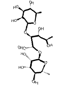 C[C@@H](O)[C@@H](O)[C@H](OC1O[C@H](C)[C@@H](O)[C@H](O)[C@@H]1O)[C@@H](C=O)O[C@H]1O[C@H](C)[C@@H](O)[C@H](O)[C@@H]1O